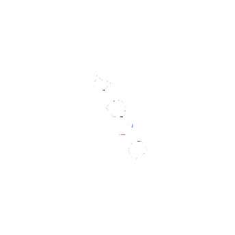 COc1cc(-c2cc(C)nn2C)ccc1NC(=O)c1ccccc1Cl